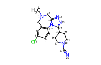 CN1Cc2cc(Cl)ccc2-n2c(nnc2C2CCN(C#N)CC2)C1